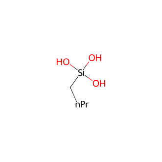 CCCC[Si](O)(O)O